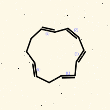 [CH]1/C=C/C/C=C/C=C/C=C\C=C\C1